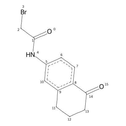 O=C(CBr)Nc1ccc2c(c1)CCCC2=O